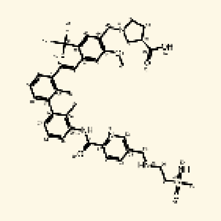 COc1cc(/C=C/c2cccc(-c3cccc(NC(=O)c4ccc(CNCCS(C)(=N)=O)cn4)c3C)c2C)c(C(F)(F)F)cc1CN1CC[C@@H](C(=O)O)C1